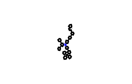 c1ccc(-c2cc(-c3ccccc3)cc(N(c3ccc(-c4ccc(-c5cccc(-c6ccc7ccccc7c6)c5)cc4)cc3)c3ccc(-c4cccc5c4-c4ccccc4C5(c4ccccc4)c4ccccc4)cc3)c2)cc1